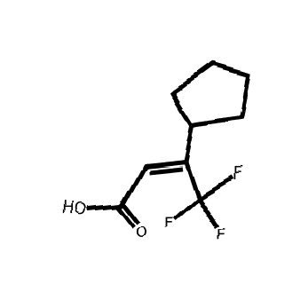 O=C(O)C=C(C1CCCC1)C(F)(F)F